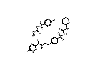 CCCNC(=O)NS(=O)(=O)c1ccc(Cl)cc1.Cc1cnc(C(=O)NCCc2ccc(S(=O)(=O)NC(=O)NC3CCCCC3)cc2)cn1